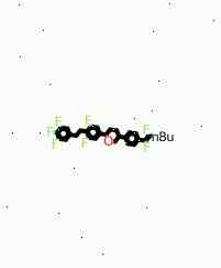 CCCC/C(F)=C(\F)c1ccc(C2CCC(c3cc(F)c(CCc4cc(F)c(F)c(F)c4)c(F)c3)OC2)cc1